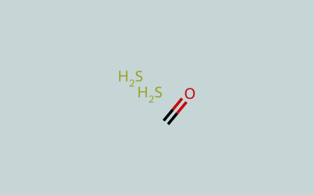 C=O.S.S